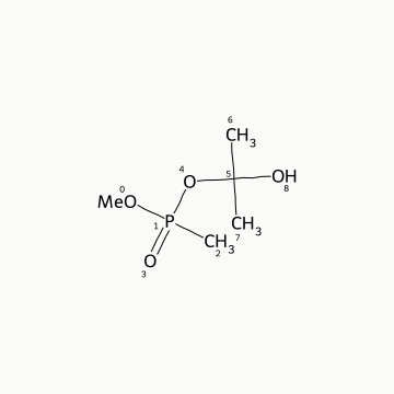 COP(C)(=O)OC(C)(C)O